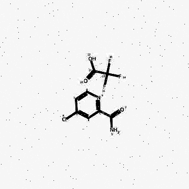 NC(=O)c1cc(Cl)ccn1.O=C(O)C(F)(F)F